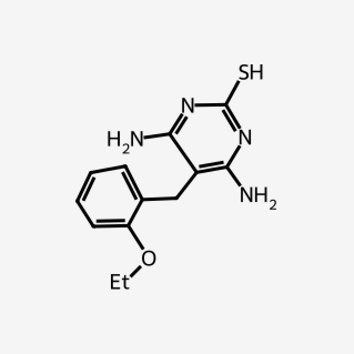 CCOc1ccccc1Cc1c(N)nc(S)nc1N